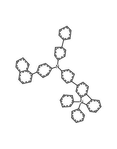 c1ccc(-c2ccc(N(c3ccc(-c4ccc5c(c4)[Si](c4ccccc4)(c4ccccc4)c4ccccc4-5)cc3)c3ccc(-c4cccc5ccccc45)cc3)cc2)cc1